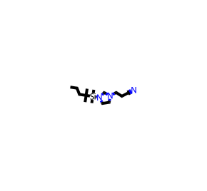 CCCC(C)(C)[Si](C)(C)N1CCN(CCC#N)C1